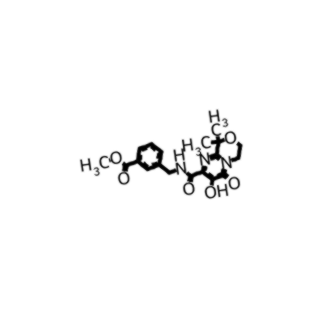 COC(=O)c1cccc(CNC(=O)c2nc3n(c(=O)c2O)CCOC3(C)C)c1